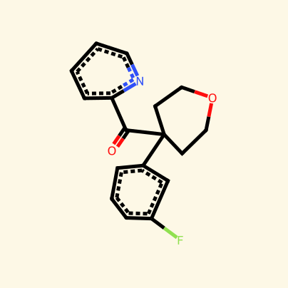 O=C(c1ccccn1)C1(c2cccc(F)c2)CCOCC1